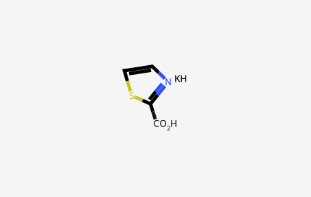 O=C(O)c1nccs1.[KH]